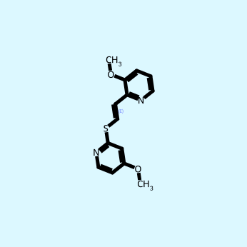 COc1ccnc(S/C=C/c2ncccc2OC)c1